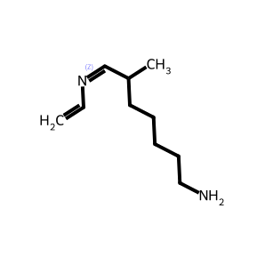 C=C/N=C\C(C)CCCCCN